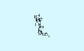 O=C(Cn1cnc([N+](=O)[O-])c1)NCC(F)(F)C(F)(F)BI